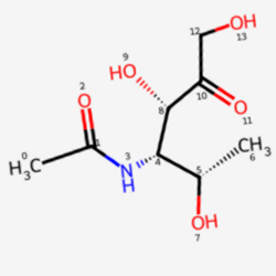 CC(=O)N[C@@H]([C@H](C)O)[C@H](O)C(=O)CO